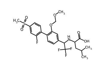 COCOc1cc(C(NC(CC(C)C)C(=O)O)C(F)(F)F)ccc1-c1ccc(S(C)(=O)=O)cc1F